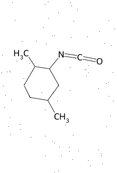 CC1CCC(C)C(N=C=O)C1